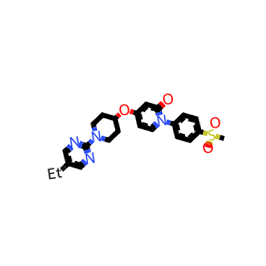 CCc1cnc(N2CCC(Oc3ccn(-c4ccc(S(C)(=O)=O)cc4)c(=O)c3)CC2)nc1